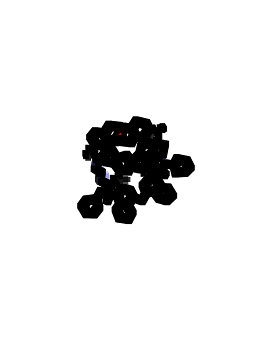 CN1/C(=C/C=C/C2=[N+](C)c3cc(Cc4cc5c(c6ccccc46)C(C)(Cc4ccccc4)C(/C=C/C=C4/N(C)c6ccc7ccccc7c6C46Cc4ccccc4C6)=[N+]5C)c4ccccc4c3C2(C)Cc2ccccc2)C2(Cc3ccccc3C2)c2c1ccc1ccccc21